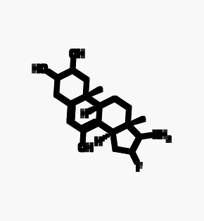 C[C@]12CC(O)C(O)CC1=CC(O)=C1[C@H]2CC[C@]2(C)C(N)C(F)C[C@@H]12